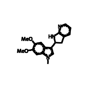 COc1cc2c(C3Cc4cccnc4N3)cn(C)c2cc1OC